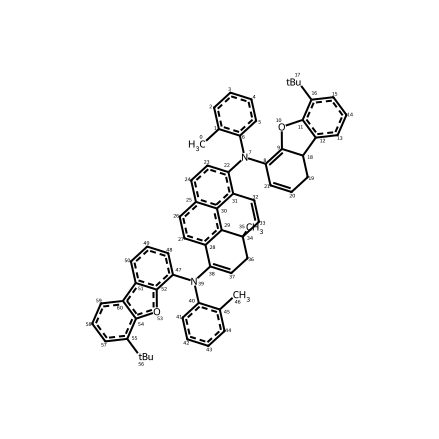 Cc1ccccc1N(C1=C2Oc3c(cccc3C(C)(C)C)C2CC=C1)c1ccc2ccc3c4c2c1C=CC4(C)CC=C3N(c1ccccc1C)c1cccc2c1oc1c(C(C)(C)C)cccc12